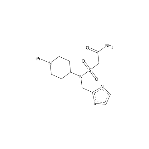 CC(C)N1CCC(N(Cc2nccs2)S(=O)(=O)CC(N)=O)CC1